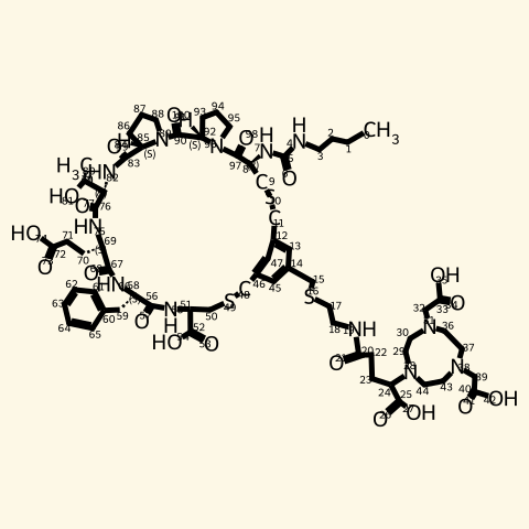 CCCCNC(=O)N[C@H]1CSCc2cc(CSCCNC(=O)CCC(C(=O)O)N3CCN(CC(=O)O)CCN(CC(=O)O)CC3)cc(c2)CSCC(C(=O)O)NC(=O)[C@H](Cc2ccccc2)NC(=O)[C@H](CCC(=O)O)NC(=O)[C@H]([C@@H](C)O)NC(=O)[C@@H]2CCCN2C(=O)[C@@H]2CCCN2C1=O